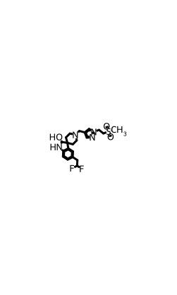 CS(=O)(=O)CCn1cc(CN2CCC3(CC2)c2cc(CC(F)F)ccc2NC3O)cn1